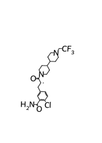 NC(=O)c1cc(C[CH]C(=O)N2CCC(C3CCN(CC(F)(F)F)CC3)CC2)ccc1Cl